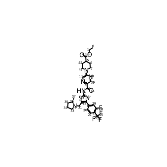 CCOC(=O)C1CCN(c2cnc(C(=O)Nc3nc(-c4ccc(C(F)(F)F)c(F)c4)c(CN4CCC[C@H]4C)s3)cn2)CC1